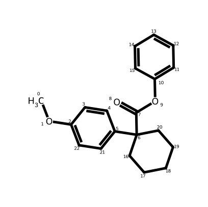 COc1ccc(C2(C(=O)Oc3ccccc3)CCCCC2)cc1